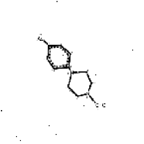 CC(=O)c1ccc(N2CCN([C]=O)CC2)cc1